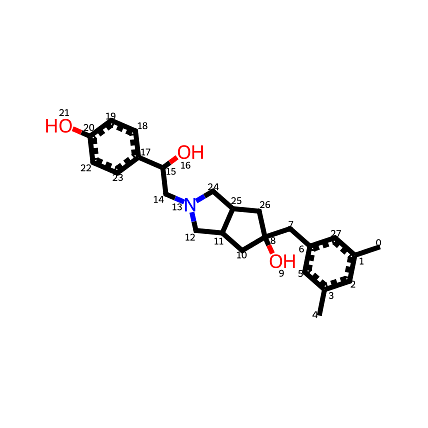 Cc1cc(C)cc(CC2(O)CC3CN(CC(O)c4ccc(O)cc4)CC3C2)c1